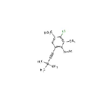 CC(=O)Nc1c(C#C[Si](C)(C)C)cc(C(=O)O)c(Cl)c1C